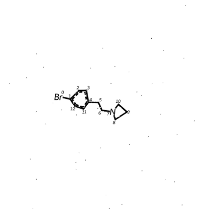 Brc1ccc(CCN2CCC2)cc1